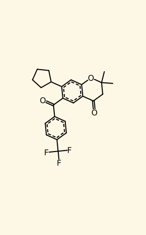 CC1(C)CC(=O)c2cc(C(=O)c3ccc(C(F)(F)F)cc3)c(C3CCCC3)cc2O1